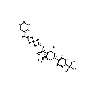 C[C@@H]1CN(c2ncc(C(F)(F)F)cn2)C[C@H](C)N1C(=O)OC1CC2(C1)CN(CC1CCCCC1)C2